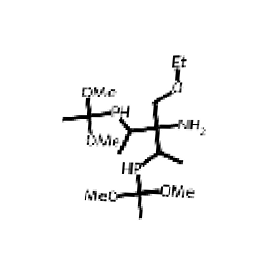 CCOCC(N)(C(C)PC(C)(OC)OC)C(C)PC(C)(OC)OC